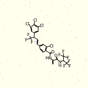 C=C(NC(=O)c1ccc(/C=C/C(c2cc(Cl)c(Cl)c(Cl)c2)C(F)(F)F)cc1Cl)C(=O)NC(C(F)(F)F)C(F)(F)F